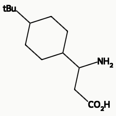 CC(C)(C)C1CCC(C(N)CC(=O)O)CC1